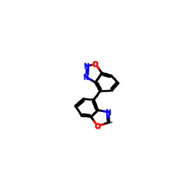 [c]1nc2c(-c3cccc4onnc34)cccc2o1